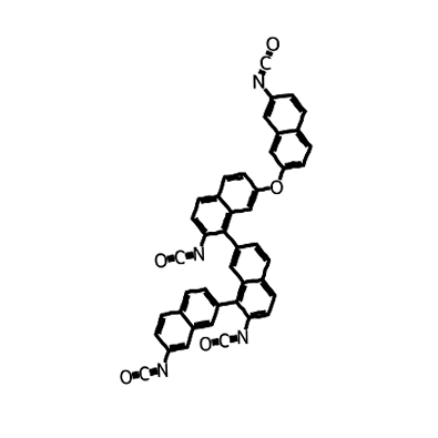 O=C=Nc1ccc2ccc(Oc3ccc4ccc(N=C=O)c(-c5ccc6ccc(N=C=O)c(-c7ccc8ccc(N=C=O)cc8c7)c6c5)c4c3)cc2c1